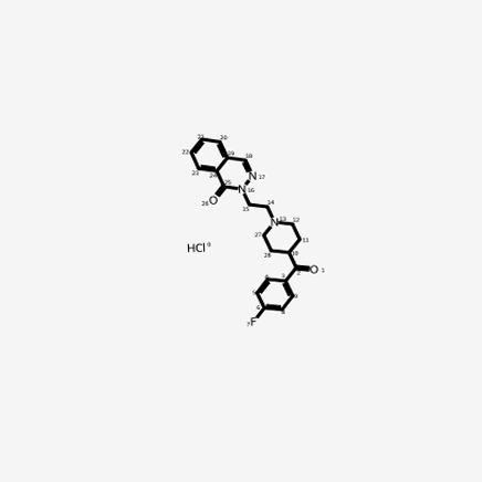 Cl.O=C(c1ccc(F)cc1)C1CCN(CCn2ncc3ccccc3c2=O)CC1